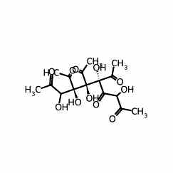 CC(=O)C(O)C(=O)[C@](O)(C(C)=O)[C@@](O)(C(C)=O)[C@@](O)(C(C)=O)C(O)C(C)=O